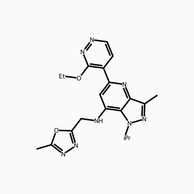 CCOc1nnccc1-c1cc(NCc2nnc(C)o2)c2c(n1)c(C)nn2C(C)C